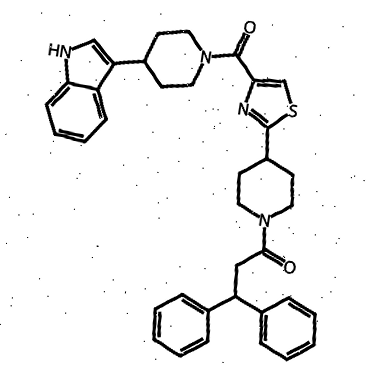 O=C(CC(c1ccccc1)c1ccccc1)N1CCC(c2nc(C(=O)N3CCC(c4c[nH]c5ccccc45)CC3)cs2)CC1